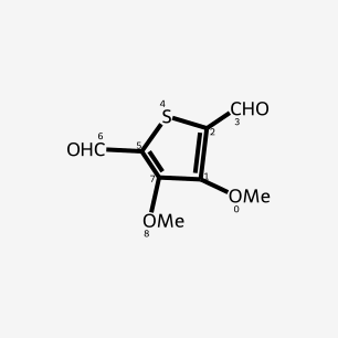 COc1c(C=O)sc(C=O)c1OC